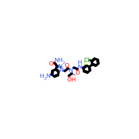 C[C@H](CO)N(CC(=O)Nc1cccc(-c2ccccc2Cl)c1F)C(=O)Cn1nc(C(N)=O)c2cc(N)ccc21